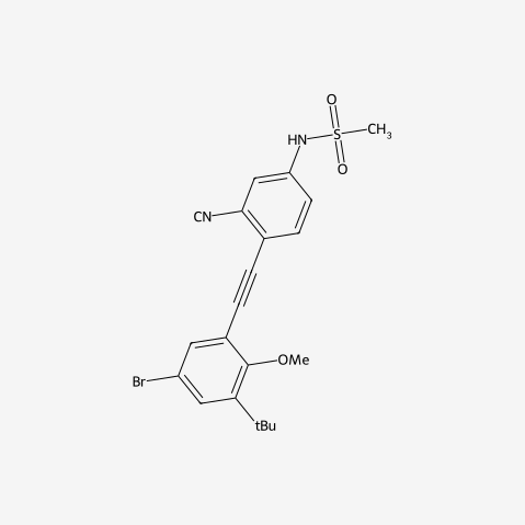 [C-]#[N+]c1cc(NS(C)(=O)=O)ccc1C#Cc1cc(Br)cc(C(C)(C)C)c1OC